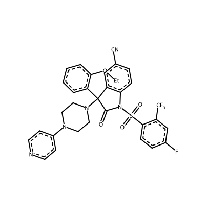 CCOc1ccccc1C1(N2CCN(c3ccncc3)CC2)C(=O)N(S(=O)(=O)c2ccc(F)cc2C(F)(F)F)c2ccc(C#N)cc21